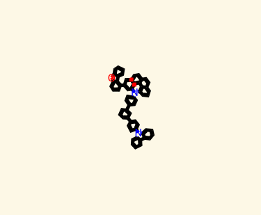 c1cc(-c2ccc(N(c3cccc(-c4cccc5oc6ccccc6c45)c3)c3cccc4ccc5ccccc5c34)cc2)cc(-c2ccc(-n3c4ccccc4c4ccccc43)cc2)c1